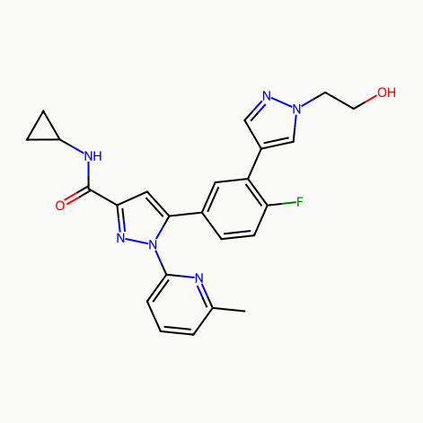 Cc1cccc(-n2nc(C(=O)NC3CC3)cc2-c2ccc(F)c(-c3cnn(CCO)c3)c2)n1